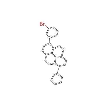 Brc1cccc(-c2ccc3ccc4c(-c5ccccc5)ccc5ccc2c3c54)c1